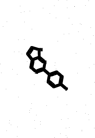 Fc1ccc(-c2ncc3cc[nH]c3n2)cc1